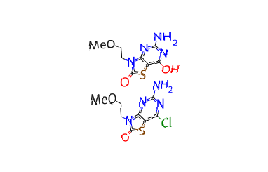 COCCn1c(=O)sc2c(Cl)nc(N)nc21.COCCn1c(=O)sc2c(O)nc(N)nc21